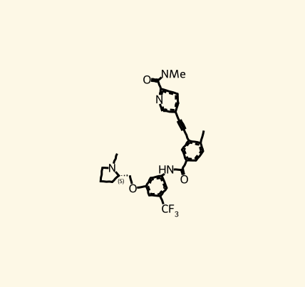 CNC(=O)c1ccc(C#Cc2cc(C(=O)Nc3cc(OC[C@@H]4CCCN4C)cc(C(F)(F)F)c3)ccc2C)cn1